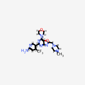 CN1CCN(Cc2nc3nc(-c4cnc(N)cc4C(F)(F)F)nc(N4CCOCC4)c3o2)CC1